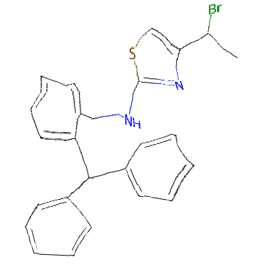 CC(Br)c1csc(Nc2ccccc2C(c2ccccc2)c2ccccc2)n1